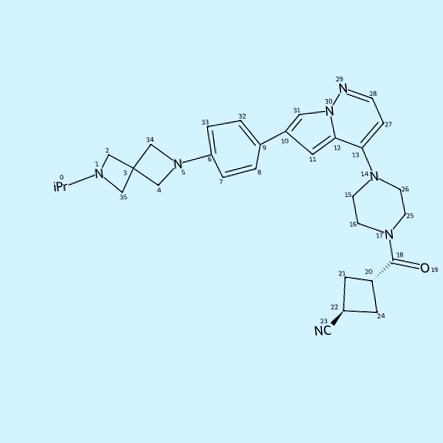 CC(C)N1CC2(CN(c3ccc(-c4cc5c(N6CCN(C(=O)[C@H]7C[C@H](C#N)C7)CC6)ccnn5c4)cc3)C2)C1